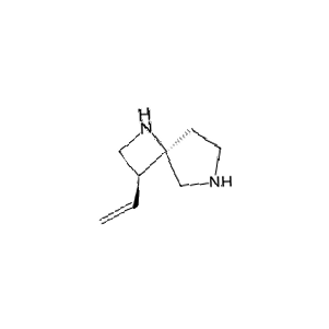 C=C[C@H]1CN[C@]12CCNC2